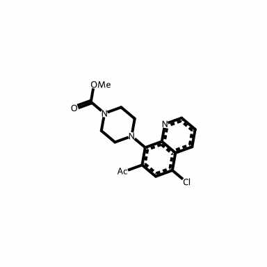 COC(=O)N1CCN(c2c(C(C)=O)cc(Cl)c3cccnc23)CC1